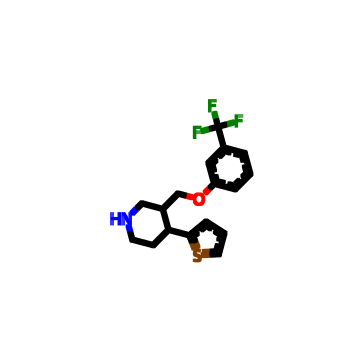 FC(F)(F)c1cccc(OCC2CNCCC2c2cccs2)c1